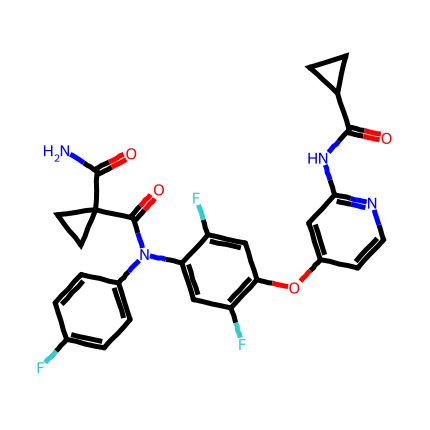 NC(=O)C1(C(=O)N(c2ccc(F)cc2)c2cc(F)c(Oc3ccnc(NC(=O)C4CC4)c3)cc2F)CC1